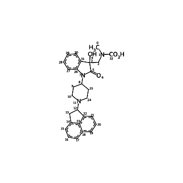 CN(CC1(O)C(=O)N(C2CCN(C3Cc4cccc5cccc3c45)CC2)c2ccccc21)C(=O)O